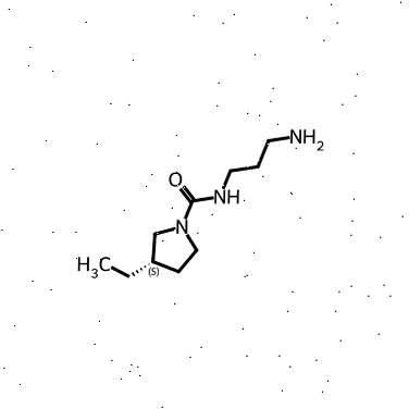 CC[C@H]1CCN(C(=O)NCCCN)C1